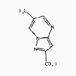 O=C(O)c1cc2ncc(C(F)(F)F)cn2n1